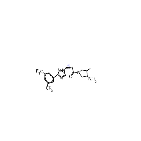 CC1CN(C(=O)/C=C\n2cnc(-c3cc(C(F)(F)F)cc(C(F)(F)F)c3)n2)CC1N